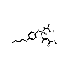 CCCCSc1ccc(SP(=S)(N=C(C)N)OC(C)=CC(=O)OC)cc1